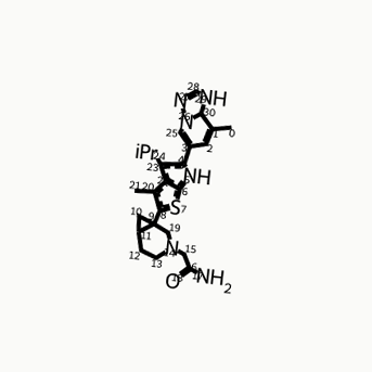 CC1=CC(c2[nH]c3sc(C45CC4CCN(CC(N)=O)C5)c(C)c3c2C(C)C)=CN2N=CNC12